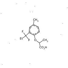 CCC(F)(F)c1cc(C)ccc1OC(C)C(=O)O